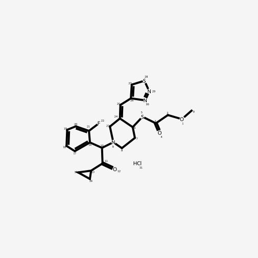 COCC(=O)SC1CCN(C(C(=O)C2CC2)c2ccccc2F)CC1=Cc1csnn1.Cl